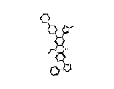 CCOc1cc(N2CCC(N3CCOCC3)CC2)c(-c2cnn(C)c2)cc1Nc1cc(N2OCC[C@@H]2c2ccccc2)ncn1